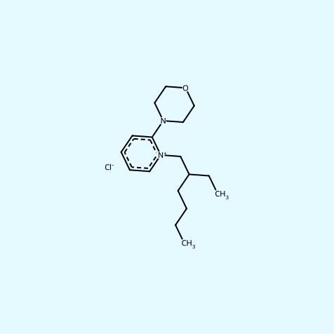 CCCCC(CC)C[n+]1ccccc1N1CCOCC1.[Cl-]